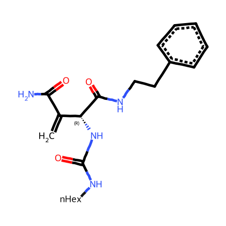 C=C(C(N)=O)[C@@H](NC(=O)NCCCCCC)C(=O)NCCc1ccccc1